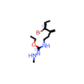 C=C(CCN/C(=N/NC)OCC)/C(Br)=C\C